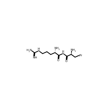 CC(C)C[C@H](N)C(=O)NC(=O)[C@@H](N)CCCNC(=N)N